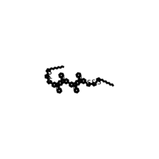 CCCCCCCCc1ccc(-c2ccc(-c3ccc(-c4ccc5c(c4)c4cc6c(cc4n5-c4ccccc4)c4cc(-c5ccc7c(c5)c5cc8c(cc5n7-c5ccccc5)c5cc(-c7ccc(-c9ccc(-c%10ccc(CCCCCCCC)s%10)s9)s7)ccc5n8-c5ccccc5)ccc4n6-c4ccccc4)s3)s2)s1